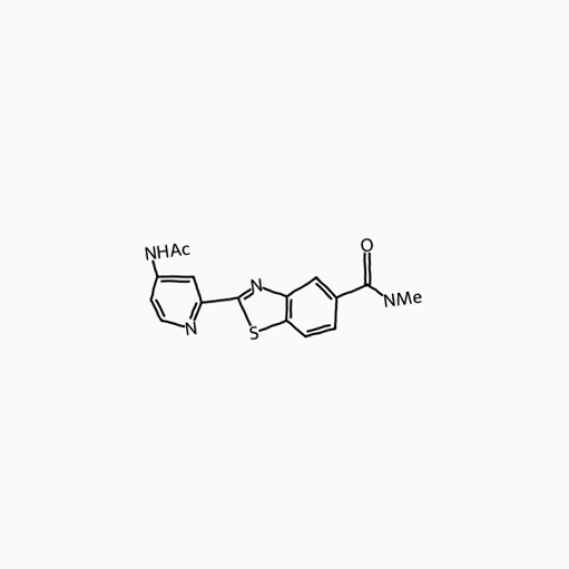 CNC(=O)c1ccc2sc(-c3cc(NC(C)=O)ccn3)nc2c1